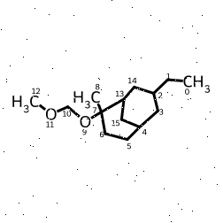 CCC1CC2CCC(C)(OCOC)C(C1)C2